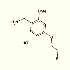 COc1cc(OCCF)ccc1CN.Cl